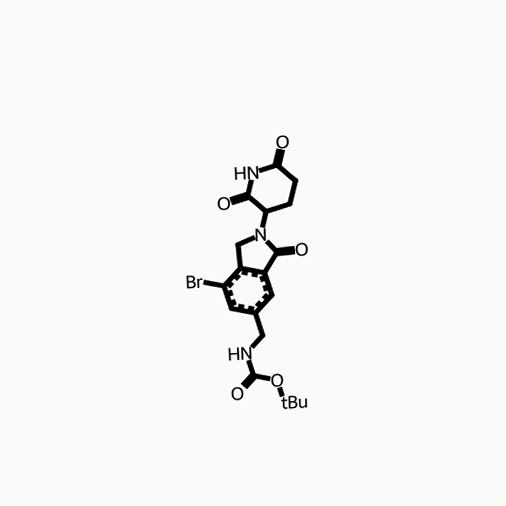 CC(C)(C)OC(=O)NCc1cc(Br)c2c(c1)C(=O)N(C1CCC(=O)NC1=O)C2